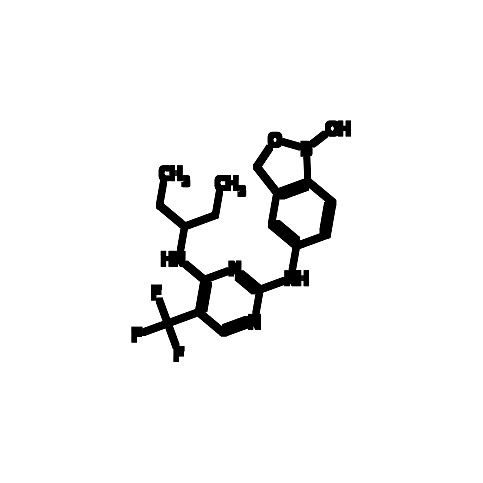 CCC(CC)Nc1nc(Nc2ccc3c(c2)COB3O)ncc1C(F)(F)F